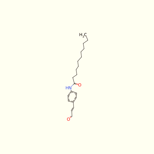 CCCCCCCCCCCC(=O)Nc1ccc(/C=C/C=O)cc1